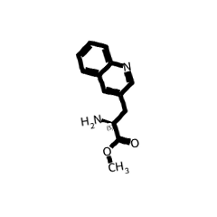 COC(=O)[C@@H](N)Cc1cnc2ccccc2c1